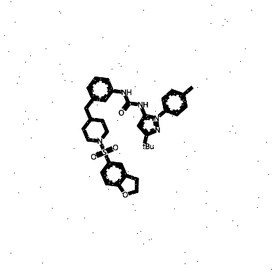 Cc1ccc(-n2nc(C(C)(C)C)cc2NC(=O)Nc2cccc(CC3CCN(S(=O)(=O)c4ccc5c(c4)CCO5)CC3)c2)cc1